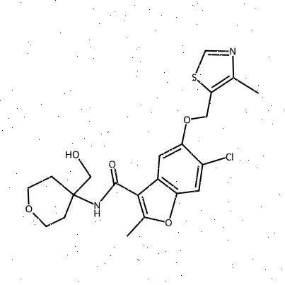 Cc1ncsc1COc1cc2c(C(=O)NC3(CO)CCOCC3)c(C)oc2cc1Cl